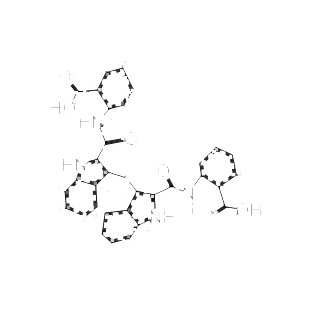 O=C(O)c1ccccc1NC(=O)c1[nH]c2ccccc2c1Cc1c(C(=O)Nc2ccccc2C(=O)O)[nH]c2ccccc12